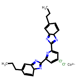 CCCC1=CC2=NC(c3cccc(C4=NC5C=CC(CCC)=CC5=N4)n3)=NC2C=C1.[Cl-].[Cl-].[Co+2]